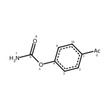 CC(=O)c1ccc(OC(N)=O)cc1